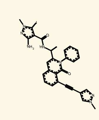 CC(NC(=O)c1c(N)nn(C)c1I)c1cc2cccc(C#Cc3cnn(C)c3)c2c(=O)n1-c1ccccc1